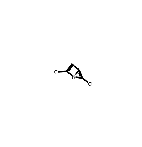 Clc1cc2c(Cl)n1-2